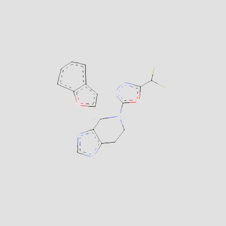 FC(F)c1nnc(N2CCc3[nH]cnc3[C@@H]2c2cc3ccccc3o2)o1